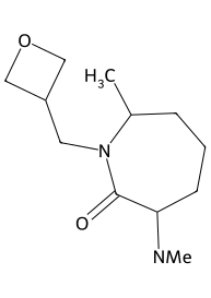 CNC1CCCC(C)N(CC2COC2)C1=O